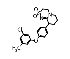 O=S1(=O)CCN2CCCC(c3ccc(Oc4cc(Cl)cc(C(F)(F)F)c4)cc3)C2=N1